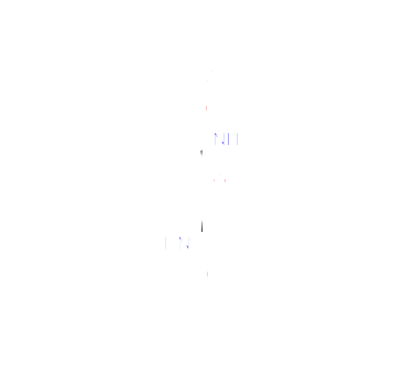 O=C(NC[C@@H]1CO[C@H](CNC(=O)c2ccccc2Cl)CO1)c1ccccc1